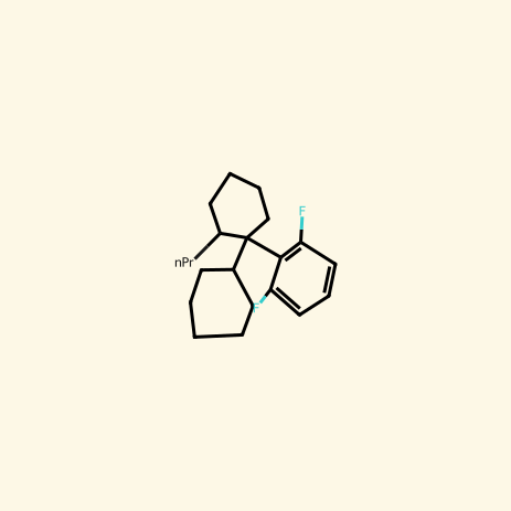 CCCC1CCCCC1(c1c(F)cccc1F)C1CCCCC1